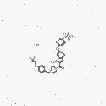 Br.Cn1c(C(=O)N2CCN(Cc3ccc(OCC(F)(F)F)cc3)CC2)cc2ccc(Oc3ccc(NS(C)(=O)=O)cn3)cc21